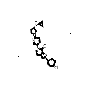 O=c1c2sc(-c3ccc(Cl)cc3)cc2ccn1-c1ccc(N2CC[C@@H](NC3CC3)C2)nc1